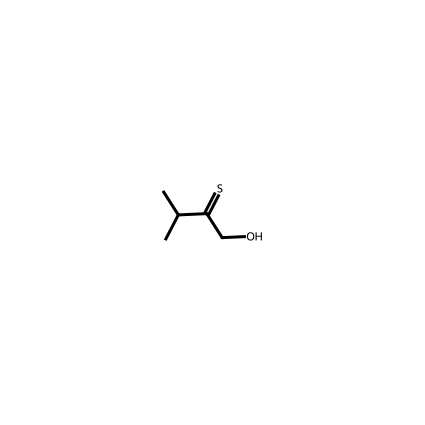 CC(C)C(=S)CO